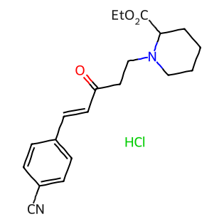 CCOC(=O)C1CCCCN1CCC(=O)C=Cc1ccc(C#N)cc1.Cl